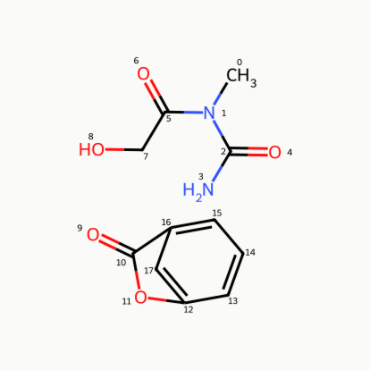 CN(C(N)=O)C(=O)CO.O=C1Oc2cccc1c2